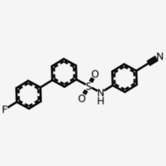 N#Cc1ccc(NS(=O)(=O)c2cccc(-c3ccc(F)cc3)c2)cc1